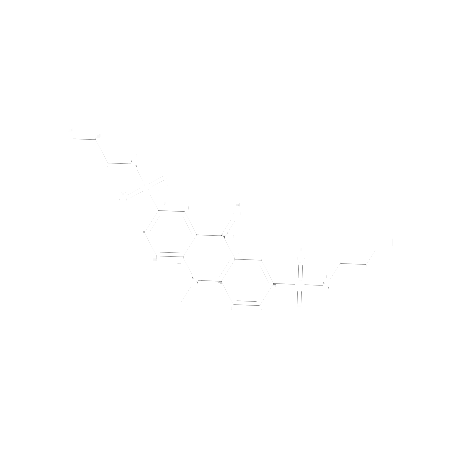 Cn1c2ccc(S(=O)(=O)NCCO)cc2c(=O)c2cc(S(=O)(=O)NCCO)ccc21